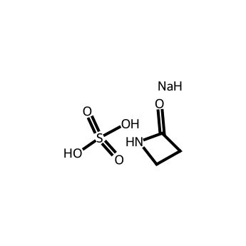 O=C1CCN1.O=S(=O)(O)O.[NaH]